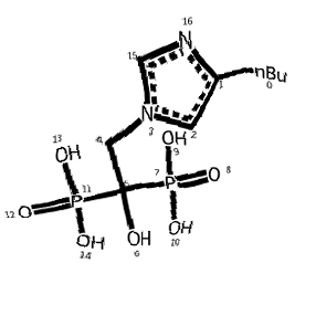 CCCCc1cn(CC(O)(P(=O)(O)O)P(=O)(O)O)cn1